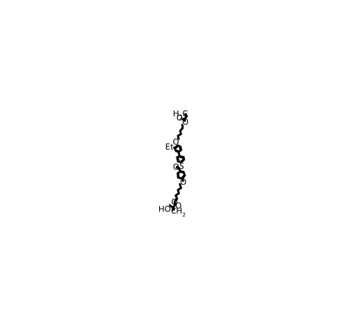 C=CC(=O)OCCCCCCOc1ccc(-c2ccc(SC(=O)c3ccc(OCCCCCCOC(=O)C(=C)CO)cc3)cc2)cc1CC